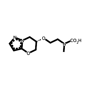 CN(CCO[C@@H]1COc2ccnn2C1)C(=O)O